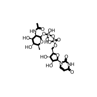 CC(=O)N[C@H]1[C@@H](OP(=O)(O)OP(=O)(O)OC[C@H]2O[C@@H](n3ccc(=O)[nH]c3=O)[C@H](O)[C@@H]2O)O[C@@H](C)[C@H](O)[C@H]1O